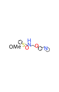 COc1ccccc1SCC(=O)NCCCOc1cccc(CN2CCCCC2)c1